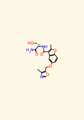 Cc1ncoc1COc1ccc2oc(C)c(C(=O)N[C@@H](CO)C(N)=O)c2c1